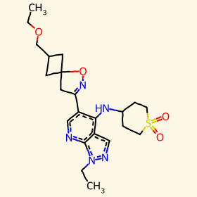 CCOCC1CC2(CC(c3cnc4c(cnn4CC)c3NC3CCS(=O)(=O)CC3)=NO2)C1